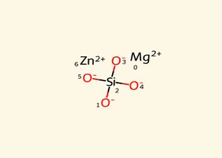 [Mg+2].[O-][Si]([O-])([O-])[O-].[Zn+2]